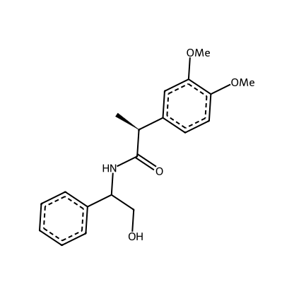 COc1ccc([C@H](C)C(=O)NC(CO)c2ccccc2)cc1OC